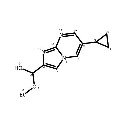 CCOC(O)c1cn2cc(C3CC3)cnc2n1